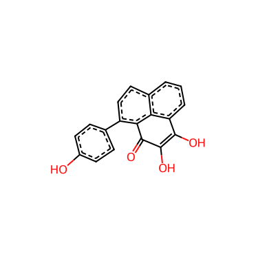 O=C1C(O)=C(O)c2cccc3ccc(-c4ccc(O)cc4)c1c23